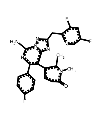 Cc1c(-c2c(-c3ccc(F)cc3)nc(N)n3nc(Cc4ncc(F)cc4F)nc23)ccc(=O)n1C